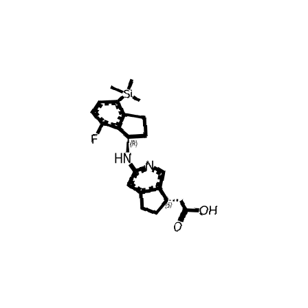 C[Si](C)(C)c1ccc(F)c2c1CC[C@H]2Nc1cc2c(cn1)[C@H](CC(=O)O)CC2